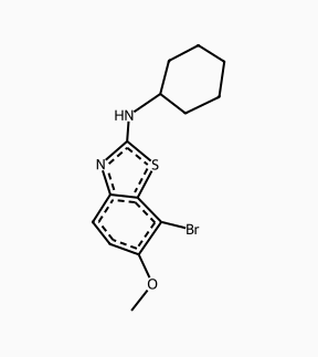 COc1ccc2nc(NC3CCCCC3)sc2c1Br